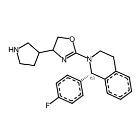 Fc1ccc([C@H]2c3ccccc3CCN2C2=NC(C3CCNC3)CO2)cc1